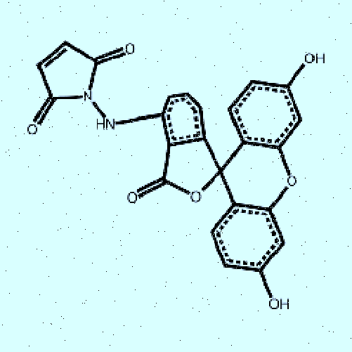 O=C1OC2(c3ccc(O)cc3Oc3cc(O)ccc32)c2cccc(NN3C(=O)C=CC3=O)c21